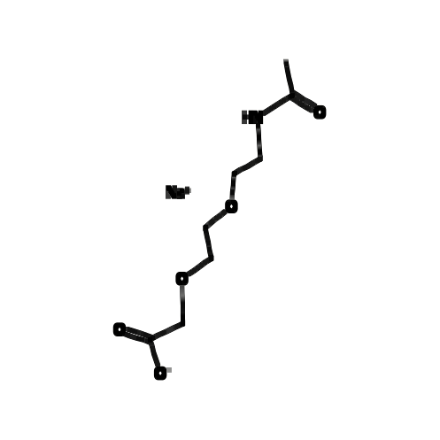 CC(=O)NCCOCCOCC(=O)[O-].[Na+]